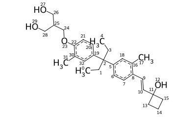 CCC(CC)(c1ccc(/C=C/C2(O)CCC2)c(C)c1)c1ccc(OCC(CO)CO)c(C)c1